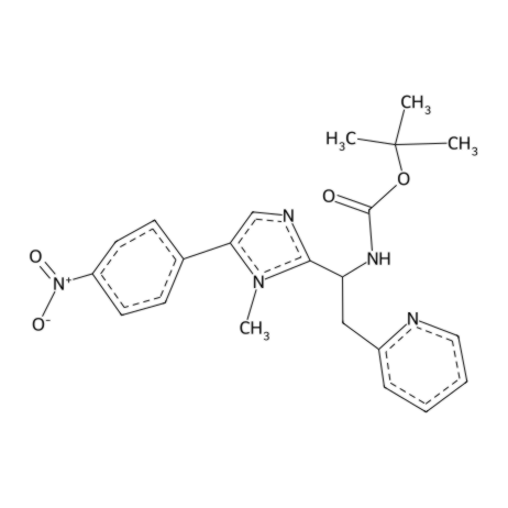 Cn1c(-c2ccc([N+](=O)[O-])cc2)cnc1C(Cc1ccccn1)NC(=O)OC(C)(C)C